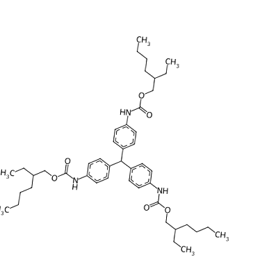 CCCCC(CC)COC(=O)Nc1ccc(C(c2ccc(NC(=O)OCC(CC)CCCC)cc2)c2ccc(NC(=O)OCC(CC)CCCC)cc2)cc1